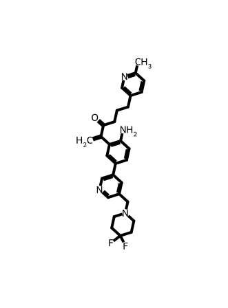 C=C(C(=O)CCCc1ccc(C)nc1)c1cc(-c2cncc(CN3CCC(F)(F)CC3)c2)ccc1N